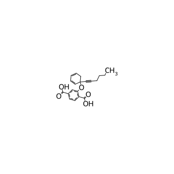 CCCCC#CC1(Oc2cc(C(=O)O)ccc2C(=O)O)C=CC=CC1